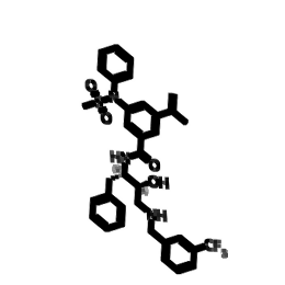 C=C(C)c1cc(C(=O)N[C@@H](Cc2ccccc2)[C@@H](O)CNCc2cccc(C(F)(F)F)c2)cc(N(c2ccccc2)S(C)(=O)=O)c1